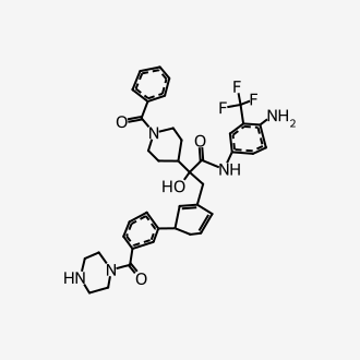 Nc1ccc(NC(=O)C(O)(CC2=CC(c3cccc(C(=O)N4CCNCC4)c3)CC=C2)C2CCN(C(=O)c3ccccc3)CC2)cc1C(F)(F)F